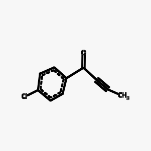 CC#CC(=O)c1ccc(Cl)cc1